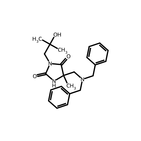 CC(C)(O)CN1C(=O)NC(C)(CN(Cc2ccccc2)Cc2ccccc2)C1=O